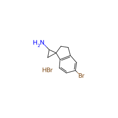 Br.NC1CC12CCc1cc(Br)ccc12